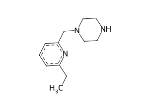 CCc1cccc(CN2CCNCC2)n1